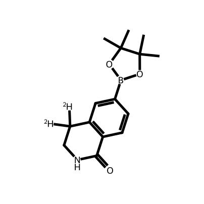 [2H]C1([2H])CNC(=O)c2ccc(B3OC(C)(C)C(C)(C)O3)cc21